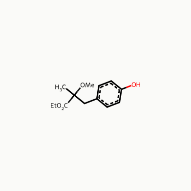 CCOC(=O)C(C)(Cc1ccc(O)cc1)OC